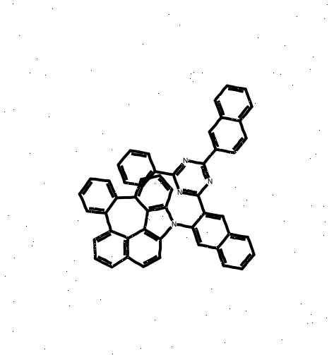 c1ccc(-c2nc(-c3ccc4ccccc4c3)nc(-c3cc4ccccc4cc3-n3c4cccc5c4c4c6c(cccc6ccc43)-c3ccccc3-5)n2)cc1